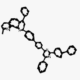 Cc1ccc2ccc3c(-c4ccccc4)cc(-c4ccc(-c5ccc(-c6cc(-c7ccccc7)nc(-c7ccc(-c8ccccc8)cc7)n6)cc5)cc4)nc3c2n1